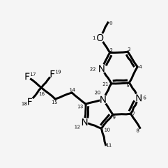 COc1ccc2nc(C)c3c(C)nc(CCC(F)(F)F)n3c2n1